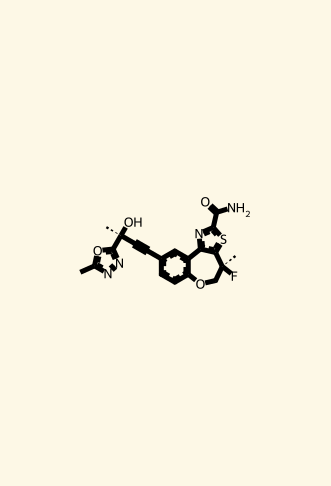 Cc1nnc([C@@](C)(O)C#Cc2ccc3c(c2)-c2nc(C(N)=O)sc2[C@@](C)(F)CO3)o1